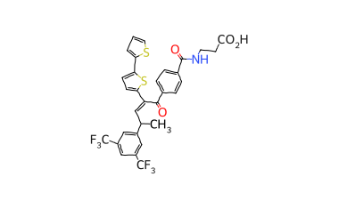 CC(/C=C(\C(=O)c1ccc(C(=O)NCCC(=O)O)cc1)c1ccc(-c2cccs2)s1)c1cc(C(F)(F)F)cc(C(F)(F)F)c1